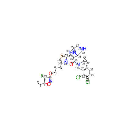 CCc1onc(OCCCc2csc(C3=C(C(=O)N(Cc4cccc(Cl)c4Cl)C4CC4)C4CNCC(C3)N4)n2)c1F